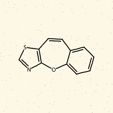 C1=Cc2scnc2Oc2ccccc21